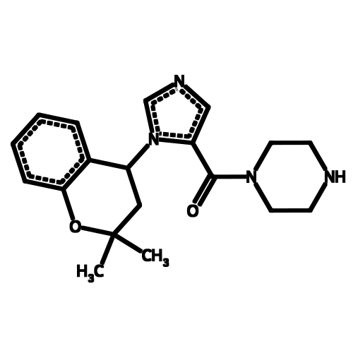 CC1(C)CC(n2cncc2C(=O)N2CCNCC2)c2ccccc2O1